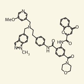 COc1cncc(CN(CCc2ccc(NC(=O)c3ccc(C(=O)N4CCOCC4)cc3NC(=O)c3cc(=O)c4ccccc4o3)cc2)Cc2ccc3c(cnn3C)c2)c1